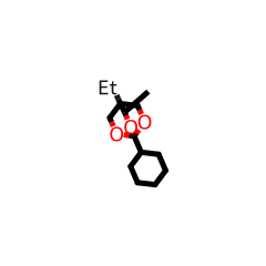 CCC12COC(C3CCCCC3)(OC1)OC2C